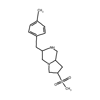 Cc1ccc(CC2CN3CC(S(C)(=O)=O)CC3CN2)cc1